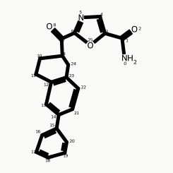 NC(=O)c1cnc(C(=O)C2CCc3cc(-c4ccccc4)ccc3C2)o1